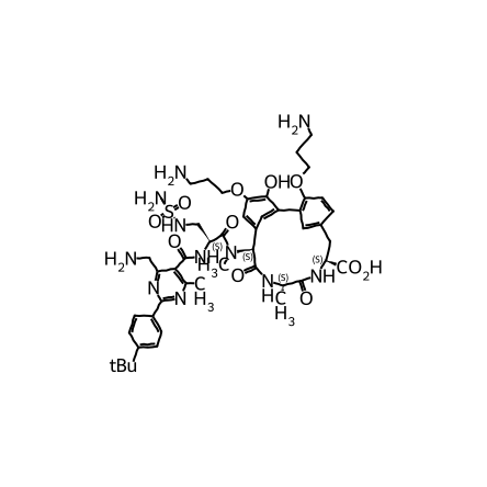 Cc1nc(-c2ccc(C(C)(C)C)cc2)nc(CN)c1C(=O)N[C@@H](CNS(N)(=O)=O)C(=O)N(C)[C@@H]1C(=O)N[C@@H](C)C(=O)N[C@H](C(=O)O)Cc2ccc(OCCCN)c(c2)-c2cc1cc(OCCCN)c2O